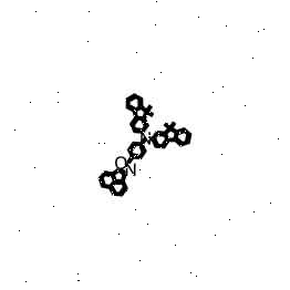 CC1(C)c2ccccc2-c2ccc(N(c3ccc(-c4nc5c(o4)-c4cccc6cccc-5c46)cc3)c3ccc4c(c3)C(C)(C)c3ccccc3-4)cc21